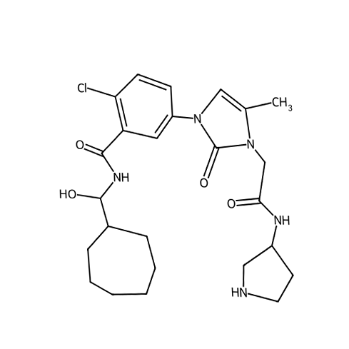 Cc1cn(-c2ccc(Cl)c(C(=O)NC(O)C3CCCCCC3)c2)c(=O)n1CC(=O)NC1CCNC1